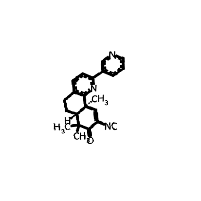 [C-]#[N+]C1=C[C@]2(C)c3nc(-c4cccnc4)ccc3CC[C@H]2C(C)(C)C1=O